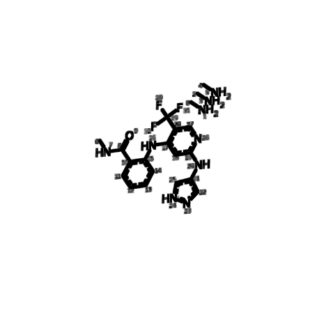 CN.CN.CN.CNC(=O)c1ccccc1Nc1cc(Nc2cn[nH]c2)ncc1C(F)(F)F